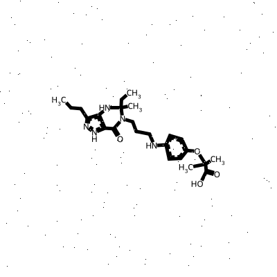 CCCc1n[nH]c2c1NC(C)(CC)N(CCCNc1ccc(OC(C)(C)C(=O)O)cc1)C2=O